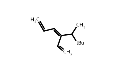 C=C/C=C(\C=C)C(C)C(C)(C)C